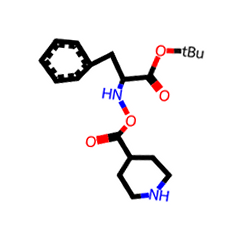 CC(C)(C)OC(=O)C(Cc1ccccc1)NOC(=O)C1CCNCC1